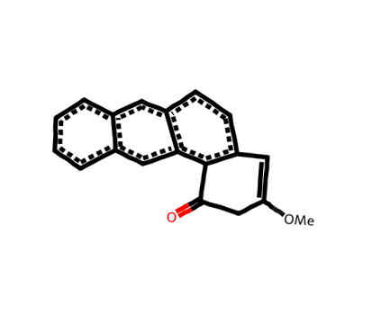 COC1=Cc2ccc3cc4ccccc4cc3c2C(=O)C1